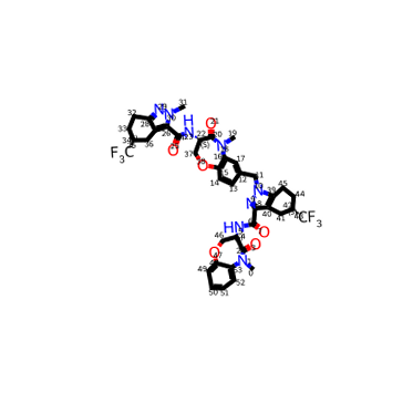 CN1C(=O)[C@@H](NC(=O)c2nn(Cc3ccc4c(c3)N(C)C(=O)[C@@H](NC(=O)c3c5c(nn3C)CC[C@H](C(F)(F)F)C5)CO4)c3c2C[C@@H](C(F)(F)F)CC3)COc2ccccc21